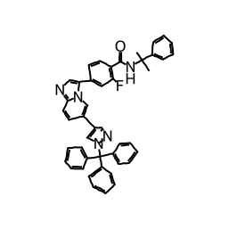 CC(C)(NC(=O)c1ccc(-c2cnc3ccc(-c4cnn(C(c5ccccc5)(c5ccccc5)c5ccccc5)c4)cn23)cc1F)c1ccccc1